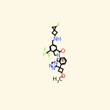 COC1CC(c2cccc(N3Cc4c(cc(CNC5CC6(C5)CC6F)cc4C(F)(F)F)C3=O)c2)(c2nncn2C)C1